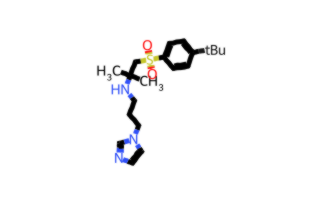 CC(C)(CS(=O)(=O)c1ccc(C(C)(C)C)cc1)NCCCn1ccnc1